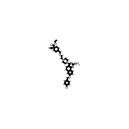 CCOC(=O)C1(C#N)CCC(COCCN2CCN(c3nc(N)nc4c3CCc3cc(OCc5ccc(Cl)cc5)ccc3-4)CC2)CC1